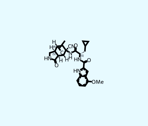 COc1cccc2[nH]c(C(=O)N[C@@H](CC3CC3)C(=O)N[C@@]3(C#N)C[C@@H]4C(C)C[C@H]3[C@H]3C(=O)NC[C@H]34)cc12